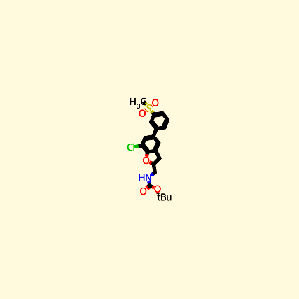 CC(C)(C)OC(=O)NCC1Cc2cc(-c3cccc(S(C)(=O)=O)c3)cc(Cl)c2O1